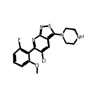 COc1cccc(F)c1-c1nc2nsc(N3CCNCC3)c2cc1Cl